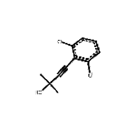 CC(C)(O)C#Cc1c(Cl)cccc1Cl